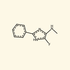 CNc1nc(-c2ccccc2)[nH]c1F